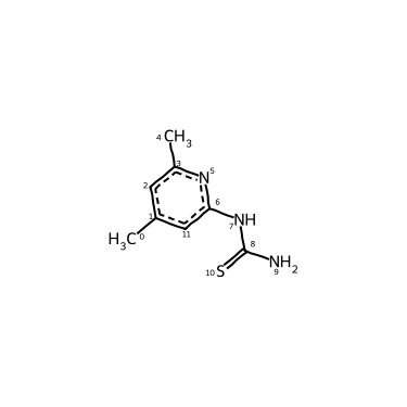 Cc1cc(C)nc(NC(N)=S)c1